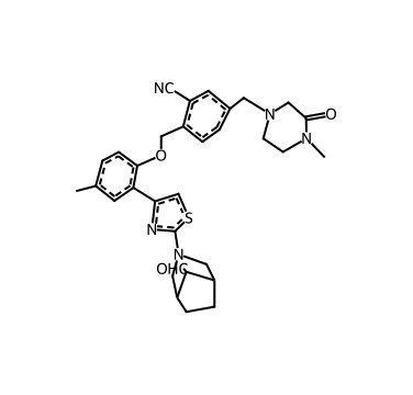 Cc1ccc(OCc2ccc(CN3CCN(C)C(=O)C3)cc2C#N)c(-c2csc(N3CC4CCC(C3)C4C=O)n2)c1